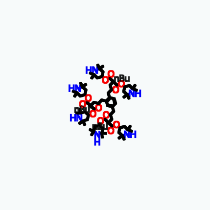 CCCCC(CCCc1ccc(CCCC(CCCC)(C(=O)OC2CC(C)(C)NC(C)(C)C2)C(=O)OC2CC(C)(C)NC(C)(C)C2)c(CCCC(CCCC)(C(=O)OC2CC(C)(C)NC(C)(C)C2)C(=O)OC2CC(C)(C)NC(C)(C)C2)c1)(C(=O)OC1CC(C)(C)NC(C)(C)C1)C(=O)OC1CC(C)(C)NC(C)(C)C1